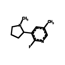 Cc1cnc(F)c(C2CCCN2C)c1